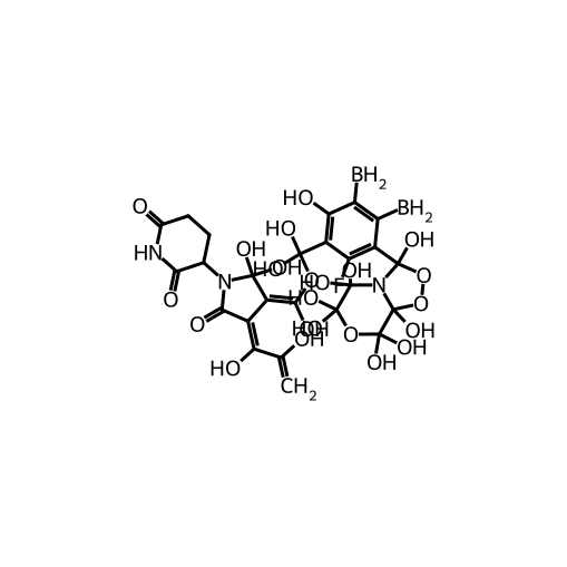 Bc1c(B)c(C2(O)OOC3(O)N2C(O)(O)C(O)(O)OC3(O)O)c(F)c(C(O)(O)O/C(O)=C2/C(=C(/O)C(=C)O)C(=O)N(C3CCC(=O)NC3=O)C2(O)O)c1O